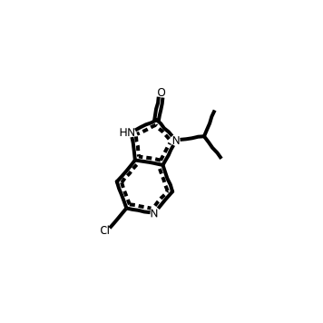 CC(C)n1c(=O)[nH]c2cc(Cl)ncc21